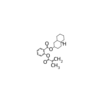 C=C(C)C(=O)Oc1ccccc1C(=O)OC1CC[C@H]2CCCCC2C1